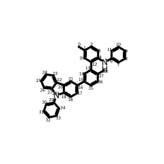 Cc1ccc(Nc2ccccc2)c(-c2cc(-c3ccc4c(c3)c3ccccc3n4-c3ccccc3)ccc2C)c1